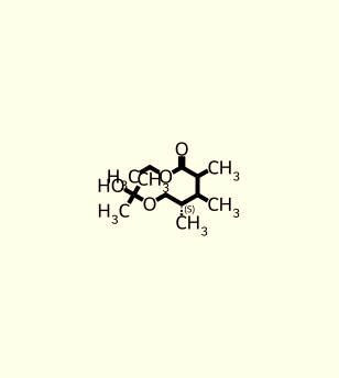 CCOC(=O)C(C)C(C)[C@H](C)COC(C)(C)O